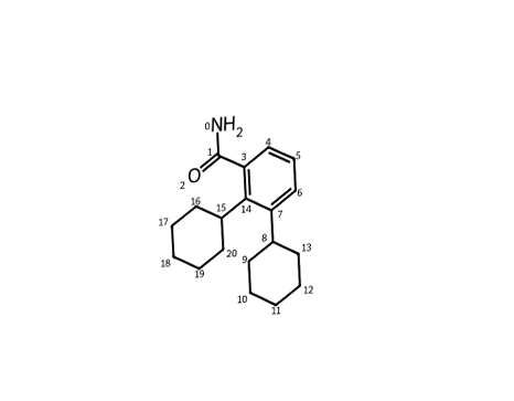 NC(=O)c1cccc(C2CCCCC2)c1C1CCCCC1